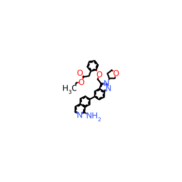 CCOC(=O)Cc1ccccc1OCc1c2cc(-c3ccc4ccnc(N)c4c3)ccc2nn1C1CCOC1